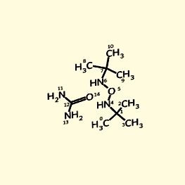 CC(C)(C)NONC(C)(C)C.NC(N)=O